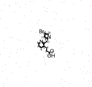 O=C(O)CCc1cccnc1Cn1cc(Br)cn1